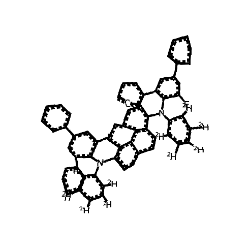 [2H]c1c([2H])c([2H])c(N(c2c(F)cc(-c3ccccc3)cc2-c2ccccc2)c2ccc3ccc4c(N(c5c(F)cc(-c6ccccc6)cc5-c5ccccc5)c5c([2H])c([2H])c([2H])c([2H])c5[2H])ccc5ccc2c3c54)c([2H])c1[2H]